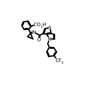 O=C(O)c1ccccc1C1(NC(=O)c2csc3ccn(Cc4ccc(C(F)(F)F)cc4)c23)CC1